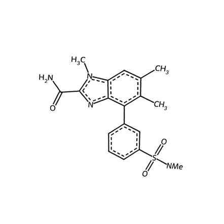 CNS(=O)(=O)c1cccc(-c2c(C)c(C)cc3c2nc(C(N)=O)n3C)c1